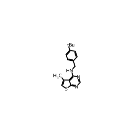 Cc1csc2ncnc(NCc3ccc(C(C)(C)C)cc3)c12